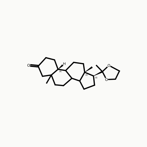 CC12CCC3C(CC[C@@]4(C)C3CC[C@@H]4C3(C)OCCO3)[C@H]1CCC(=O)C2